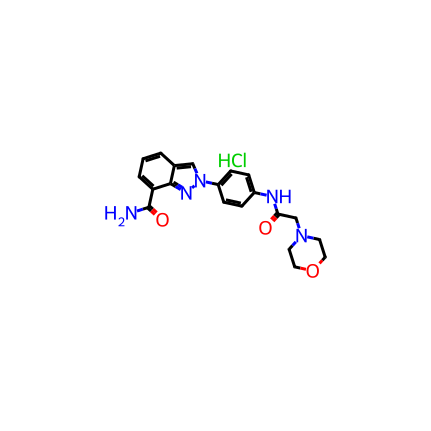 Cl.NC(=O)c1cccc2cn(-c3ccc(NC(=O)CN4CCOCC4)cc3)nc12